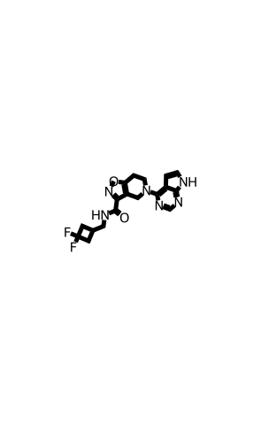 O=C(NCC1CC(F)(F)C1)c1noc2c1CN(c1ncnc3[nH]ccc13)CC2